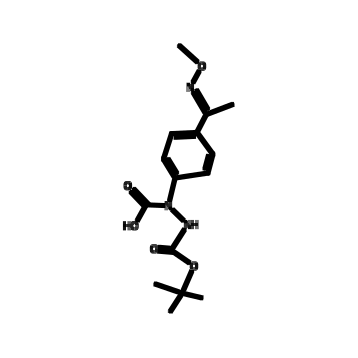 CON=C(C)c1ccc(N(NC(=O)OC(C)(C)C)C(=O)O)cc1